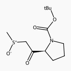 C[S+]([O-])CC(=O)[C@@H]1CCCN1C(=O)OC(C)(C)C